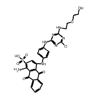 Nc1c(S(=O)(=O)O)cc(Nc2ccc(Nc3nc(Cl)nc(NCCOCCO)n3)cc2)c2c1C(=O)c1ccccc1C2=O